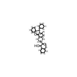 Cc1nc2c(c(=O)n1C(c1ccccc1)c1ccccc1)CCN(C(=O)C(O)c1ccccc1F)C2